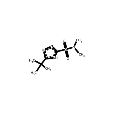 CN(C)S(=O)(=O)c1nnc(C(C)(C)C)[nH]1